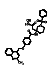 Cc1cc(COc2ccc(C(=O)NC3(CC(=O)NO)CCCN(S(=O)(=O)c4ccccc4)C3)cc2)c2ccccc2n1